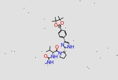 CNC(=O)NC(C(=O)N1CCC[C@H]1c1nc(-c2ccc(B3OC(C)(C)C(C)(C)O3)cc2)c[nH]1)C(C)C